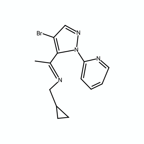 CC(=NCC1CC1)c1c(Br)cnn1-c1ccccn1